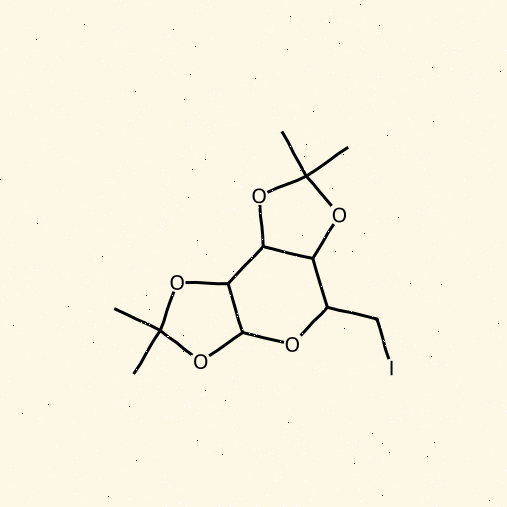 CC1(C)OC2OC(CI)C3OC(C)(C)OC3C2O1